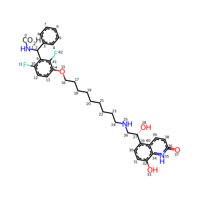 O=C(O)NC(c1ccccc1)c1c(F)ccc(OCCCCCCCCCNC[C@H](O)c2ccc(O)c3[nH]c(=O)ccc23)c1F